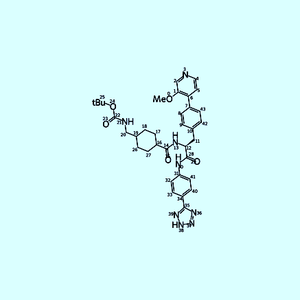 COc1cnccc1-c1ccc(C[C@H](NC(=O)C2CCC(CNC(=O)OC(C)(C)C)CC2)C(=O)Nc2ccc(-c3nn[nH]n3)cc2)cc1